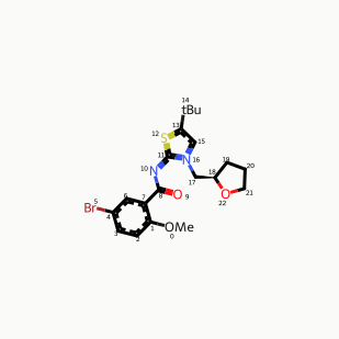 COc1ccc(Br)cc1C(=O)N=c1sc(C(C)(C)C)cn1C[C@H]1CCCO1